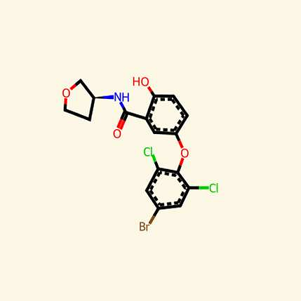 O=C(N[C@H]1CCOC1)c1cc(Oc2c(Cl)cc(Br)cc2Cl)ccc1O